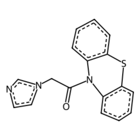 O=C(Cn1ccnc1)N1c2ccccc2Sc2ccccc21